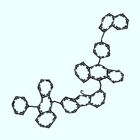 c1ccc(-c2c3ccccc3c(-c3ccc4c(c3)sc3c(-c5c6ccccc6c(-c6ccc(-c7cccc8ccccc78)cc6)c6ccccc56)cccc34)c3ccccc23)cc1